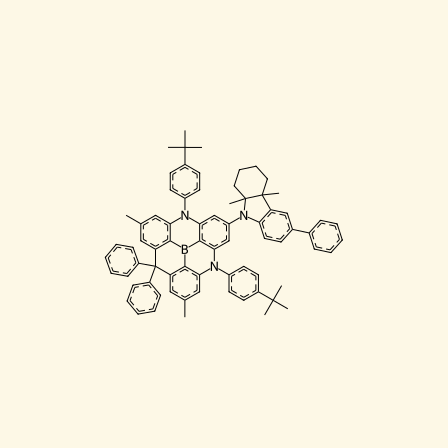 Cc1cc2c3c(c1)C(c1ccccc1)(c1ccccc1)c1cc(C)cc4c1B3c1c(cc(N3c5ccc(-c6ccccc6)cc5C5(C)CCCCC35C)cc1N4c1ccc(C(C)(C)C)cc1)N2c1ccc(C(C)(C)C)cc1